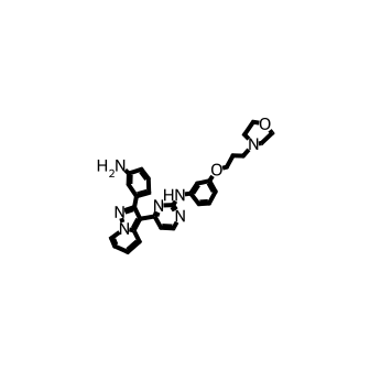 Nc1cccc(-c2nn3ccccc3c2-c2ccnc(Nc3cccc(OCCCN4CCOCC4)c3)n2)c1